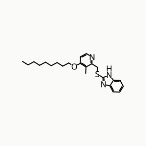 CCCCCCCCCOc1ccnc(CSc2nc3ccccc3[nH]2)c1C